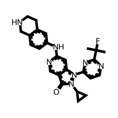 CC(C)(F)c1nccc(-n2c3cc(Nc4ccc5c(c4)CCNC5)ncc3c(=O)n2C2CC2)n1